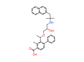 Cc1c(C(=O)O)ccc(-c2ccccc2)c1C(C)OC[C@H](O)CNC(C)(C)Cc1ccc2ccccc2c1